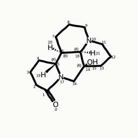 O=C1CCC[C@@H]2[C@H]3CCCN4CCC[C@@](O)(CN12)[C@@H]34